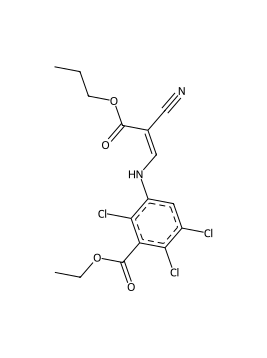 CCCOC(=O)C(C#N)=CNc1cc(Cl)c(Cl)c(C(=O)OCC)c1Cl